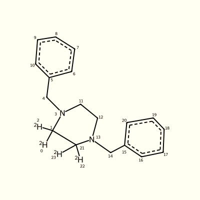 [2H]C1([2H])N(Cc2ccccc2)CCN(Cc2ccccc2)C1([2H])[2H]